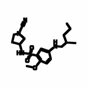 CCCC(C)CNc1ccc(OC)c(S(=O)(=O)NC2CCN(C#N)C2)c1